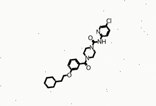 O=C(Nc1ccc(Cl)cn1)N1CCN(C(=O)c2cccc(OCCC3CCCCC3)c2)CC1